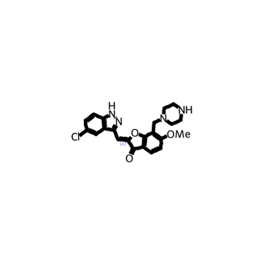 COc1ccc2c(c1CN1CCNCC1)O/C(=C\c1n[nH]c3ccc(Cl)cc13)C2=O